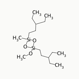 CCC(CC)CC[Si]1(C)O[Si](CCC(CC)CC)(OC)O1